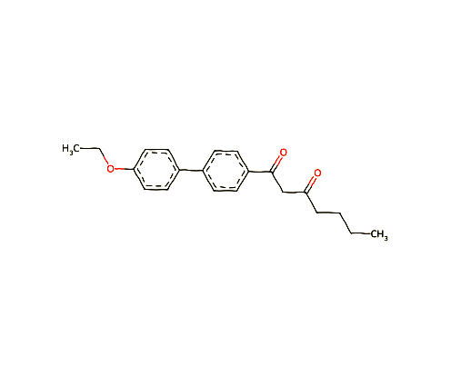 CCCCC(=O)CC(=O)c1ccc(-c2ccc(OCC)cc2)cc1